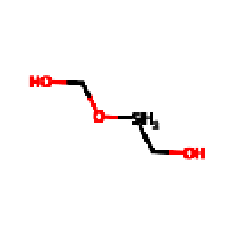 OCO[SiH2]CO